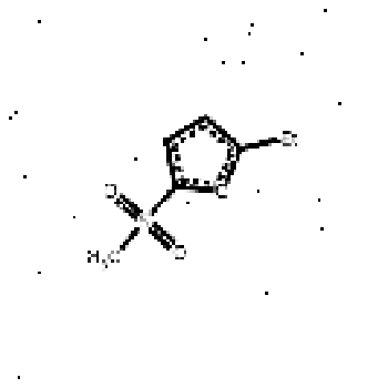 CCc1ccc(S(C)(=O)=O)o1